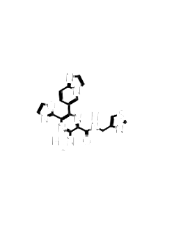 Nc1nc(-c2ncco2)c(-c2ccc3nccn3c2)nc1C(=O)NCc1cscn1